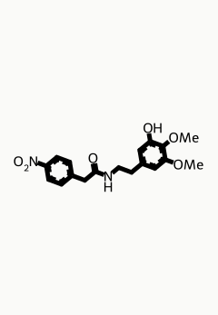 COc1cc(CCNC(=O)Cc2ccc([N+](=O)[O-])cc2)cc(O)c1OC